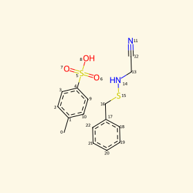 Cc1ccc(S(=O)(=O)O)cc1.N#CCNSCc1ccccc1